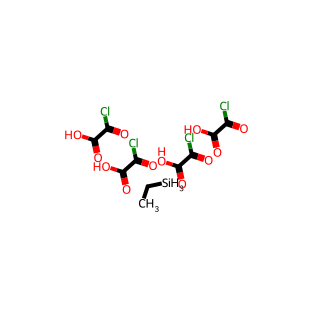 CC[SiH3].O=C(O)C(=O)Cl.O=C(O)C(=O)Cl.O=C(O)C(=O)Cl.O=C(O)C(=O)Cl